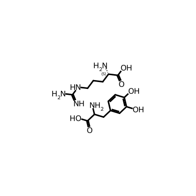 N=C(N)NCCC[C@H](N)C(=O)O.NC(Cc1ccc(O)c(O)c1)C(=O)O